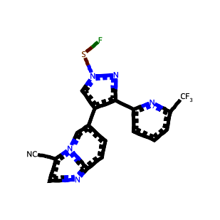 N#Cc1cnc2ccc(-c3cn(SF)nc3-c3cccc(C(F)(F)F)n3)cn12